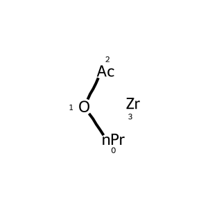 CCCOC(C)=O.[Zr]